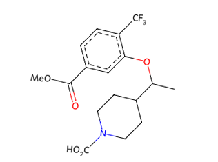 COC(=O)c1ccc(C(F)(F)F)c(OC(C)C2CCN(C(=O)O)CC2)c1